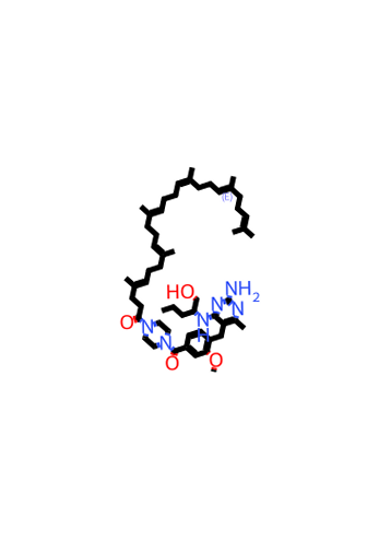 CCCC(CO)Nc1nc(N)nc(C)c1Cc1ccc(C(=O)N2CCN(C(=O)CCC(C)=CCCC(C)=CCCC(C)=CCCC=C(C)CC/C=C(\C)CCC=C(C)C)CC2)cc1OC